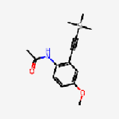 COc1ccc(NC(C)=O)c(C#C[Si](C)(C)C)c1